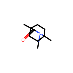 CN1C(=O)C2(C)CCC1(C)CC2